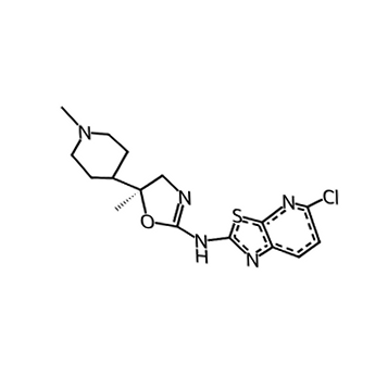 CN1CCC([C@@]2(C)CN=C(Nc3nc4ccc(Cl)nc4s3)O2)CC1